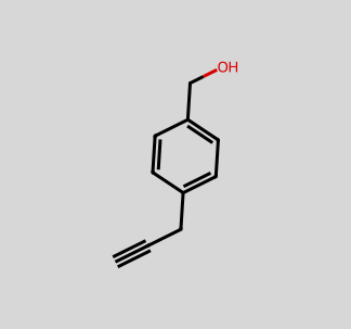 C#CCc1ccc(CO)cc1